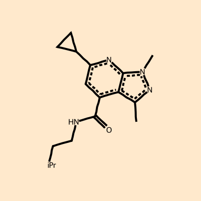 Cc1nn(C)c2nc(C3CC3)cc(C(=O)NCCC(C)C)c12